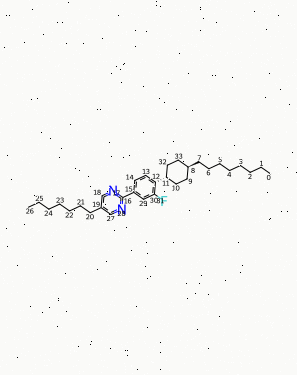 CCCCCCCC[C@H]1CC[C@H](c2ccc(-c3ncc(CCCCCCC)cn3)cc2F)CC1